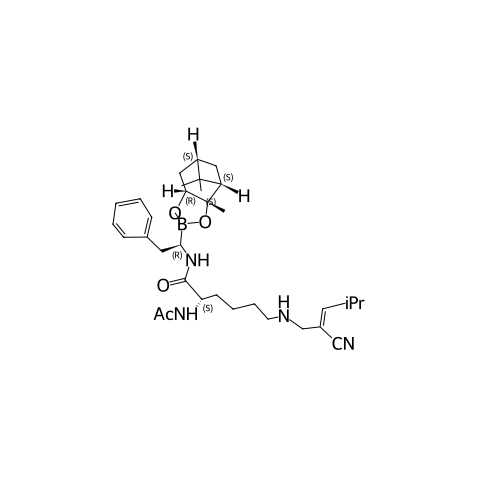 CC(=O)N[C@@H](CCCCNCC(C#N)=CC(C)C)C(=O)N[C@@H](Cc1ccccc1)B1O[C@@H]2C[C@@H]3C[C@@H](C3(C)C)[C@]2(C)O1